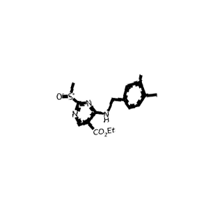 CCOC(=O)c1cnc([S+](C)[O-])nc1NCc1ccc(C)c(C)c1